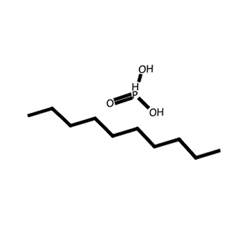 CCCCCCCCCC.O=[PH](O)O